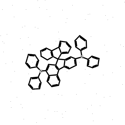 C1=CC2=C(CC1)C1(c3ccccc32)c2cc(N(c3ccccc3)c3ccccc3)ccc2-c2c1cc(N(c1ccccc1)c1ccccc1)c1ccccc21